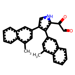 Cc1cc(-c2c[nH]c(C(=O)C=O)c2-c2cc(C)c3ccccc3c2)cc2ccccc12